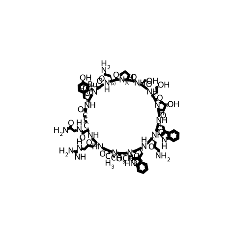 CCCC[C@H]1C(=O)N[C@@H](CC(N)=O)C(=O)N2CCC[C@H]2C(=O)N[C@@H](CO)C(=O)N[C@@H](CCO)C(=O)N2C[C@H](O)C[C@H]2C(=O)N[C@@H](Cc2c[nH]c3ccccc23)C(=O)N[C@@H](CCCN)C(=O)N[C@@H](Cc2c[nH]c3ccccc23)C(=O)N(C)[C@@H](C)C(=O)N(C)[C@@H](C)C(=O)N[C@@H](CCCNC(=N)N)C(=O)NC(C(=O)NCC(N)=O)CSCC(=O)N[C@@H](Cc2ccc(O)cc2)C(=O)N1C